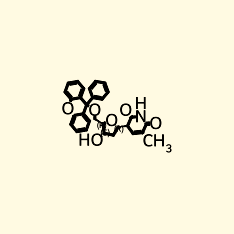 CC1=CC([C@H]2C[C@H](O)[C@@H](COC3(c4ccccc4)c4ccccc4Oc4ccccc43)O2)C(=O)NC1=O